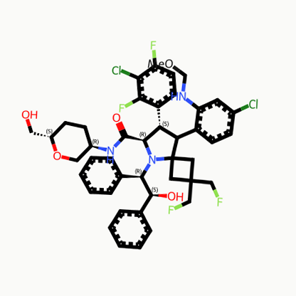 COCNc1cc(Cl)ccc1C1[C@@H](c2ccc(F)c(Cl)c2F)[C@H](C(=O)N[C@@H]2CC[C@@H](CO)OC2)N([C@H](c2ccccc2)[C@@H](O)c2ccccc2)C12CC(CF)(CF)C2